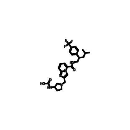 CC(C)CC(CNC(=O)c1cccc2nc(CN3CCC(NC(=O)O)C3)cn12)c1ccc(C(F)(F)F)cc1